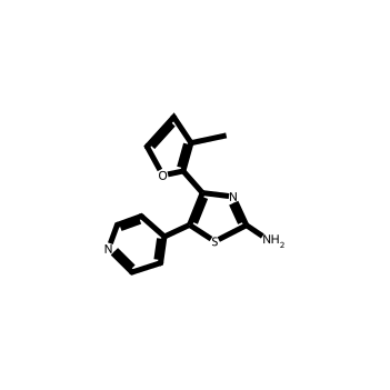 Cc1ccoc1-c1nc(N)sc1-c1ccncc1